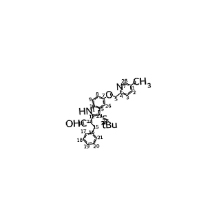 Cc1ccc(COc2ccc3[nH]c(C(C=O)Cc4ccccc4)c(SC(C)(C)C)c3c2)nc1